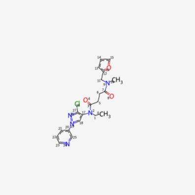 CCN(C(=O)CCC(=O)N(C)Cc1ccco1)c1cn(-c2cccnc2)nc1Cl